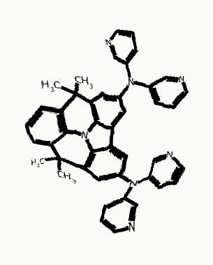 CC1(C)c2cccc3c2-n2c4c1cc(N(c1cccnc1)c1cccnc1)cc4c1cc(N(c4cccnc4)c4cccnc4)cc(c12)C3(C)C